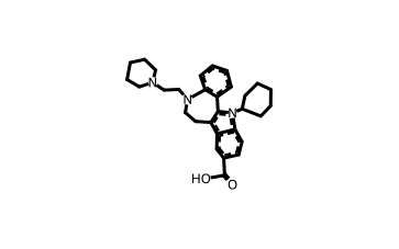 O=C(O)c1ccc2c(c1)c1c(n2C2CCCCC2)-c2ccccc2N(CCN2CCCCC2)CC1